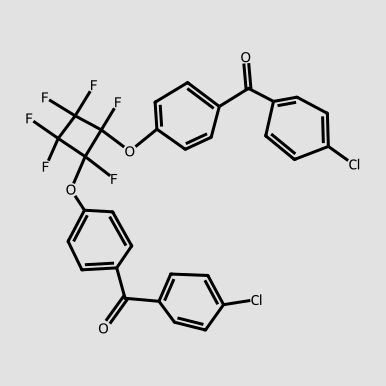 O=C(c1ccc(Cl)cc1)c1ccc(OC2(F)C(F)(F)C(F)(F)C2(F)Oc2ccc(C(=O)c3ccc(Cl)cc3)cc2)cc1